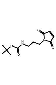 CC(C)(C)OC(=O)NCCCN1C(=O)C=CC1=O